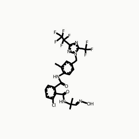 Cc1cc(Cn2nc(C(F)(F)C(F)(F)F)nc2C(F)(F)F)ccc1NC(=O)c1cccc(Cl)c1C(=O)NC(C)(C)C=NO